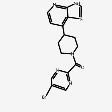 O=C(c1ncc(Br)cn1)N1CCC(c2ccnc3[nH]cnc23)CC1